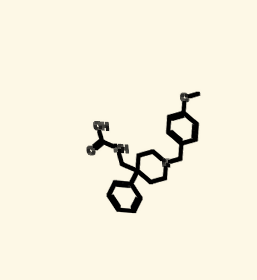 COc1ccc(CN2CCC(CNC(=O)O)(c3ccccc3)CC2)cc1